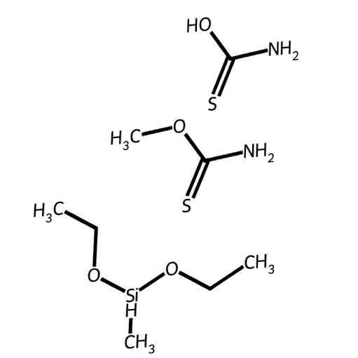 CCO[SiH](C)OCC.COC(N)=S.NC(O)=S